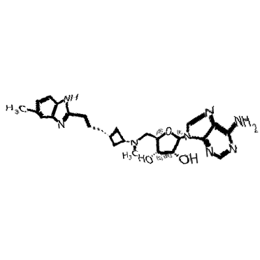 Cc1ccc2[nH]c(CC[C@H]3C[C@@H](N(C)C[C@H]4O[C@@H](n5cnc6c(N)ncnc65)[C@H](O)[C@@H]4O)C3)nc2c1